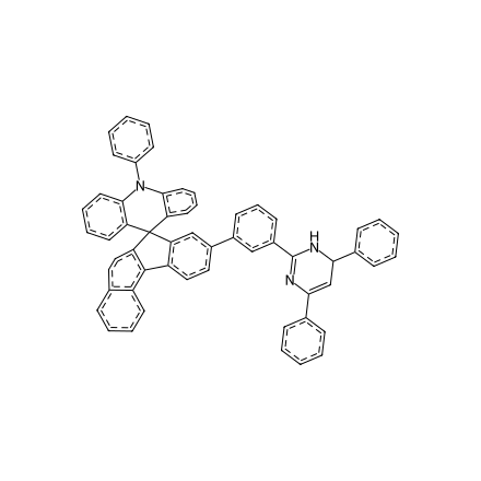 C1=C(c2ccccc2)N=C(c2cccc(-c3ccc4c(c3)C3(c5ccccc5N(c5ccccc5)c5ccccc53)c3ccc5ccccc5c3-4)c2)NC1c1ccccc1